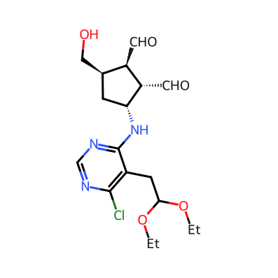 CCOC(Cc1c(Cl)ncnc1N[C@@H]1C[C@@H](CO)[C@@H](C=O)[C@@H]1C=O)OCC